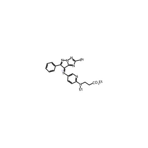 CCOC(=O)CCN(CC)c1ccc(/N=C2/C(c3ccccc3)=Nn3nc(C(C)C)nc32)cn1